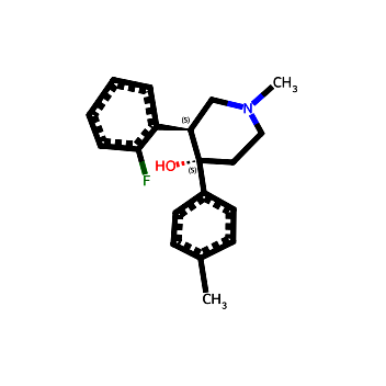 Cc1ccc([C@]2(O)CCN(C)C[C@@H]2c2ccccc2F)cc1